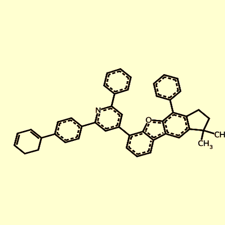 CC1(C)CCc2c1cc1c(oc3c(-c4cc(-c5ccccc5)nc(-c5ccc(C6=CC=CCC6)cc5)c4)cccc31)c2-c1ccccc1